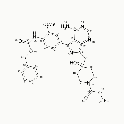 COc1cc(-c2nn(CC3(O)CCN(C(=O)OC(C)(C)C)CC3)c3ncnc(N)c23)ccc1NC(=O)OCc1ccccc1